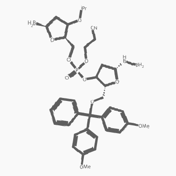 BB[C@H]1CC(OP(=O)(OCCC#N)OC[C@H]2O[C@@H](B)CC2OC(C)C)[C@@H](COC(c2ccccc2)(c2ccc(OC)cc2)c2ccc(OC)cc2)O1